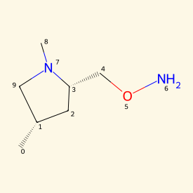 C[C@H]1C[C@@H](CON)N(C)C1